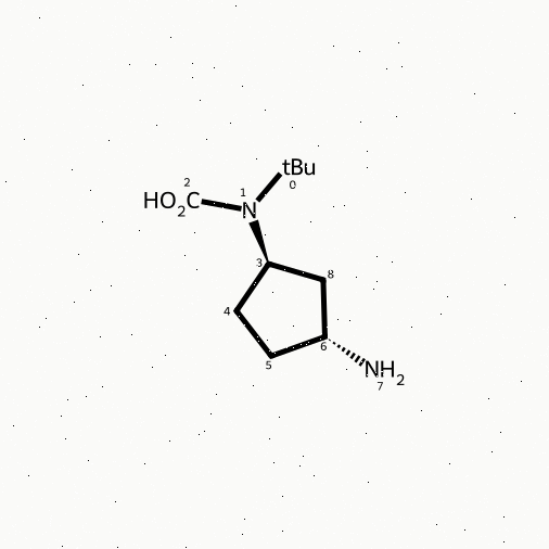 CC(C)(C)N(C(=O)O)[C@@H]1CC[C@@H](N)C1